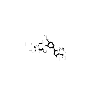 CC(=O)N1CC(C)N(c2cc(-c3cc(Cl)c4c(N)ncnn34)ccc2C#N)C(=O)C1(C)C